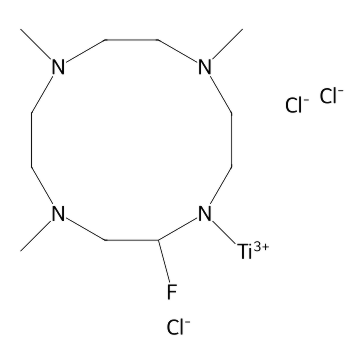 CN1CCN(C)CC[N]([Ti+3])C(F)CN(C)CC1.[Cl-].[Cl-].[Cl-]